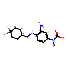 CN(C(=O)O)c1ccc(NCC2CCC(F)(F)CC2)c(N)c1